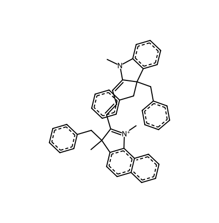 CN1/C(=C/C=C/C2=[N+](C)c3c(ccc4ccccc34)C2(C)Cc2ccccc2)C(Cc2ccccc2)(Cc2ccccc2)c2ccccc21